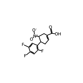 O=C(O)C1=CCC(c2cc(F)c(F)cc2F)C([N+](=O)[O-])C1